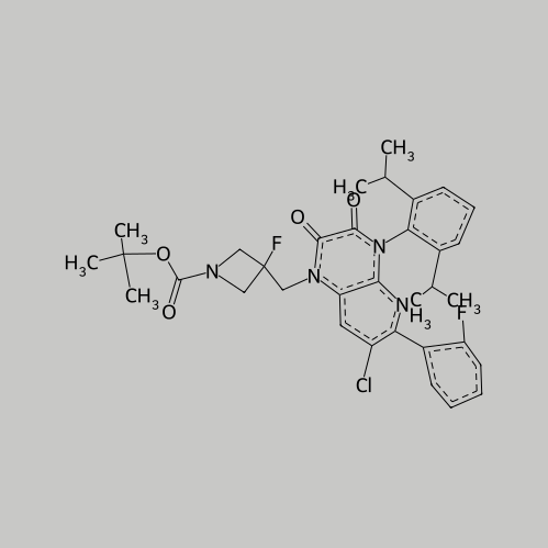 CC(C)c1cccc(C(C)C)c1-n1c(=O)c(=O)n(CC2(F)CN(C(=O)OC(C)(C)C)C2)c2cc(Cl)c(-c3ccccc3F)nc21